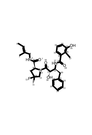 C/C=C(\C)CNC(=O)[C@@H]1CC(F)(F)CN1C(=O)[C@@H](O)[C@H](Cc1ccccc1)NC(=O)c1cccc(O)c1C